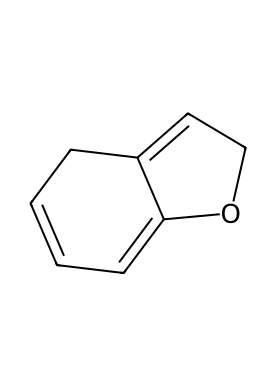 C1=CCC2=CCOC2=C1